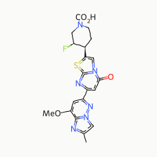 COc1cc(-c2cc(=O)n3cc([C@@H]4CCN(C(=O)O)C[C@@H]4F)sc3n2)nn2cc(C)nc12